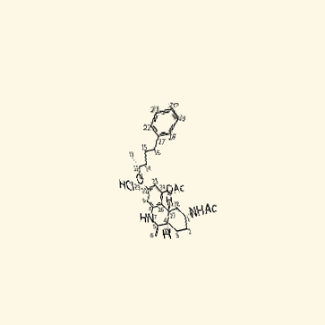 CC(=O)N[C@@H]1CC[C@H]2C(C)Nc3cc(O[C@H](C)CCCc4ccccc4)cc(OC(C)=O)c3[C@@H]2C1.Cl